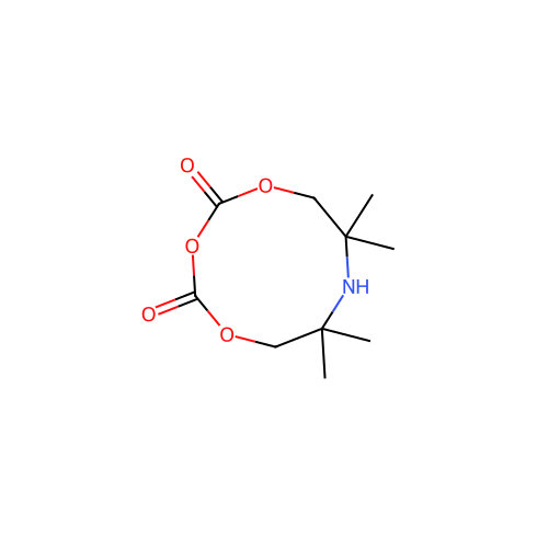 CC1(C)COC(=O)OC(=O)OCC(C)(C)N1